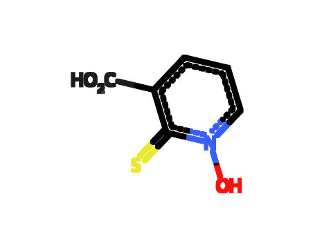 O=C(O)c1cccn(O)c1=S